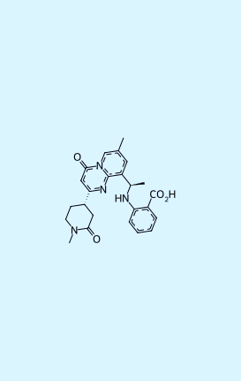 Cc1cc([C@@H](C)Nc2ccccc2C(=O)O)c2nc([C@H]3CCN(C)C(=O)C3)cc(=O)n2c1